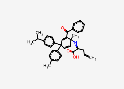 C=CCC(=NC1(C)C=CC(c2ccc(C)cc2)(c2ccc(C(C)C)cc2)C=C1C(=O)c1ccccc1)C(=O)O